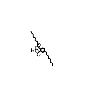 CCCCCCCCOC(=O)c1ccc(CCCCCCCC)cc1C(=O)O